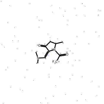 CC1CC(=O)/C(=C\N(C)C)N1C(=O)C(F)(F)F